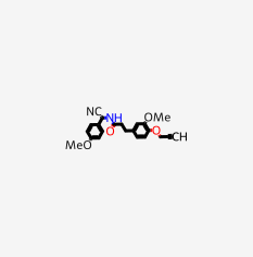 C#CCOc1ccc(CCC(=O)NC(C#N)c2ccc(OC)cc2)cc1OC